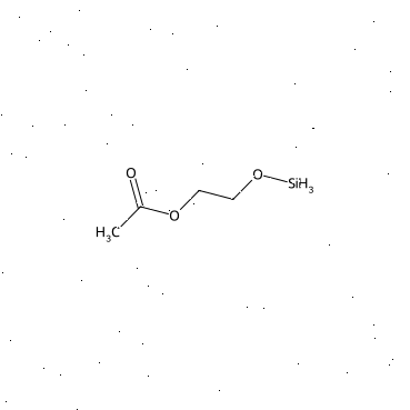 CC(=O)OCCO[SiH3]